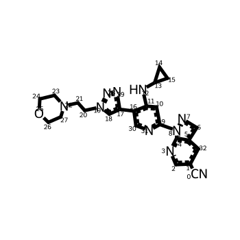 N#Cc1cnc2c(cnn2-c2cc(NC3CC3)c(-c3cn(CCN4CCOCC4)nn3)cn2)c1